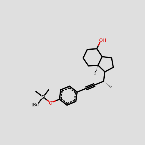 C[C@H](C#Cc1ccc(O[Si](C)(C)C(C)(C)C)cc1)C1CCC2C(O)CCC[C@@]21C